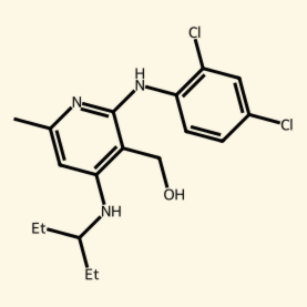 CCC(CC)Nc1cc(C)nc(Nc2ccc(Cl)cc2Cl)c1CO